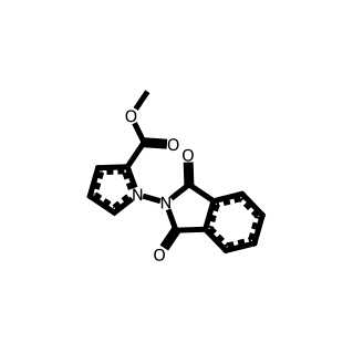 COC(=O)c1cccn1N1C(=O)c2ccccc2C1=O